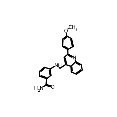 COc1ccc(-c2cc(CNc3cccc(C(N)=O)c3)c3ccccc3n2)cc1